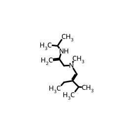 C=C(CN(C)/C=C(\CC)C(C)C)NC(C)C